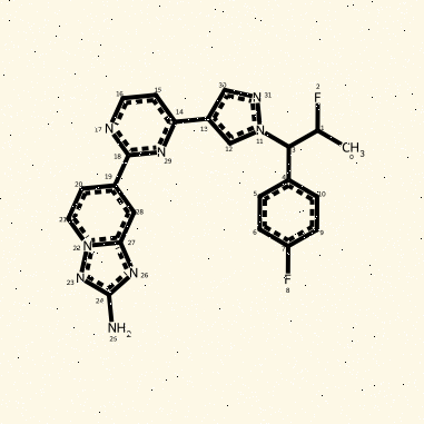 CC(F)C(c1ccc(F)cc1)n1cc(-c2ccnc(-c3ccn4nc(N)nc4c3)n2)cn1